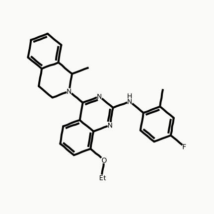 CCOc1cccc2c(N3CCc4ccccc4C3C)nc(Nc3ccc(F)cc3C)nc12